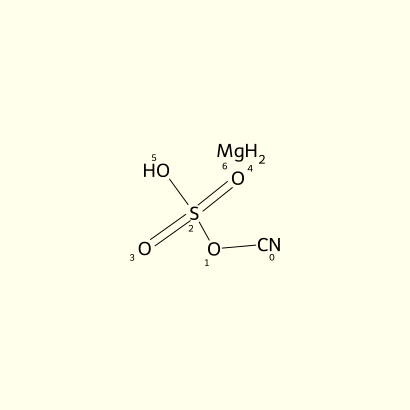 N#COS(=O)(=O)O.[MgH2]